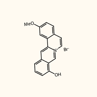 COc1ccc2cc[n+]3cc4c(O)cccc4cc3c2c1.[Br-]